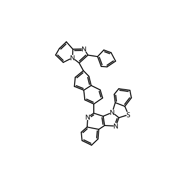 c1ccc(-c2nc3ccccn3c2-c2ccc3cc(-c4nc5ccccc5c5nc6sc7ccccc7n6c45)ccc3c2)cc1